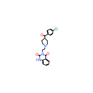 O=C(c1ccc(Cl)cc1)C1CCN(CCn2c(=O)[nH]c3ccccc3c2=O)CC1